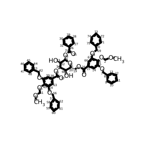 COCOc1c(OCc2ccccc2)cc(C(=O)OC[C@H]2O[C@@H](OC(=O)c3ccccc3)[C@H](O)[C@@H](OC(=O)c3cc(OCc4ccccc4)c(OCOC)c(OCc4ccccc4)c3)[C@@H]2O)cc1OCc1ccccc1